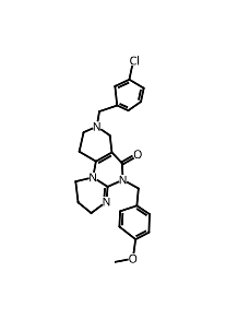 COc1ccc(CN2C(=O)C3=C(CCN(Cc4cccc(Cl)c4)C3)N3CCCN=C23)cc1